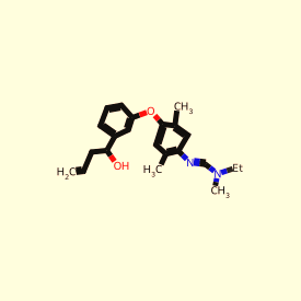 C=CCC(O)c1cccc(Oc2cc(C)c(N=CN(C)CC)cc2C)c1